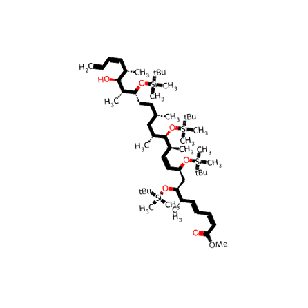 C=C/C=C\[C@H](C)[C@H](O)[C@@H](C)[C@@H](CC[C@H](C)C[C@@H](C)[C@@H](O[Si](C)(C)C(C)(C)C)[C@@H](C)/C=C\[C@H](C[C@H](O[Si](C)(C)C(C)(C)C)[C@@H](C)/C=C/C=C\C(=O)OC)O[Si](C)(C)C(C)(C)C)O[Si](C)(C)C(C)(C)C